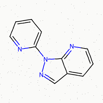 c1ccc(-n2ncc3cccnc32)nc1